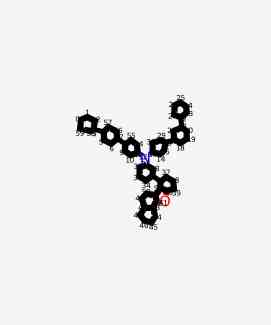 c1ccc(-c2ccc(-c3ccc(N(c4ccc(-c5cccc(-c6ccccc6)c5)cc4)c4cccc(-c5cccc6oc7c8ccccc8ccc7c56)c4)cc3)cc2)cc1